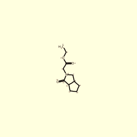 CCOC(=O)CN1CC2CCCC2C1=O